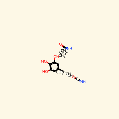 C.C.C.C.C.N=C=O.N=C=O.O=C(O)c1cc(O)c(O)c(O)c1